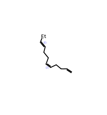 C=CCC/C=C\CC/C=C/CC